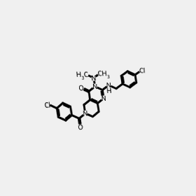 CN(C)n1c(NCc2ccc(Cl)cc2)nc2c(c1=O)CN(C(=O)c1ccc(Cl)cc1)CC2